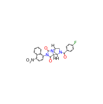 O=C1[C@H]2[C@@H]3C[C@@H](CN3C(=O)c3ccc(F)cc3)N2C(=O)N1c1ccc([N+](=O)[O-])c2ccccc12